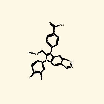 COCc1c(-c2ccc(C(=O)O)cc2)c2cc3[nH]ncc3cc2n1-c1ccc(F)c(C)c1